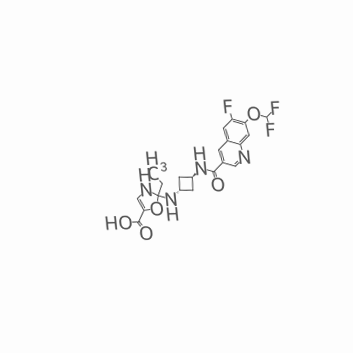 CCC1(N[C@H]2C[C@H](NC(=O)c3cnc4cc(OC(F)F)c(F)cc4c3)C2)NC=C(C(=O)O)O1